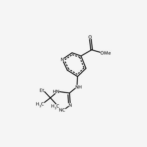 CCC(C)(C)N/C(=N\C#N)Nc1cncc(C(=O)OC)c1